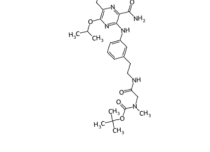 CCc1nc(C(N)=O)c(Nc2cccc(CCNC(=O)CN(C)C(=O)OC(C)(C)C)c2)nc1OC(C)C